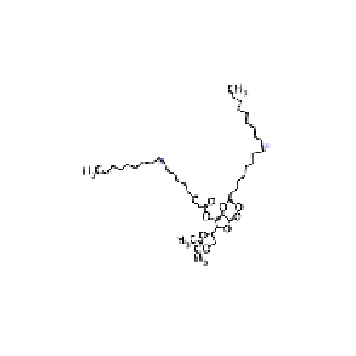 CCCCCCCC/C=C\CCCCCCCC(=O)OC1=C(OC(=O)CCCCCCC/C=C\CCCCCCCC)C(C2COC(C)(C)O2)OC1=O